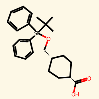 CC(C)(C)[Si](OC[C@H]1CC[C@@H](C(=O)O)CC1)(c1ccccc1)c1ccccc1